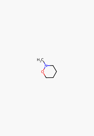 CN1CCCCO1